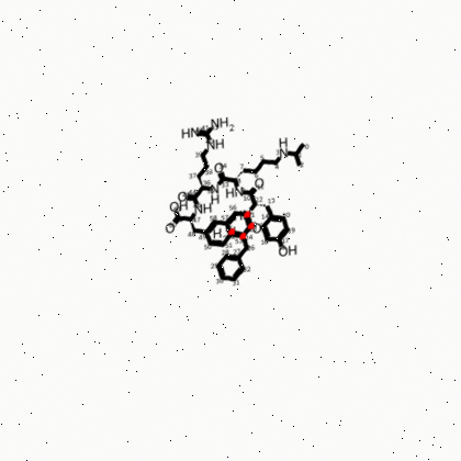 CC(C)NCCCC[C@H](NC(=O)[C@H](Cc1ccc(O)cc1)NC(=O)[C@@H](N)Cc1ccccc1)C(=O)N[C@H](CCCNC(=N)N)C(=O)N[C@@H](Cc1ccc2ccccc2c1)C(=O)O